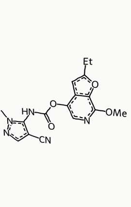 CCc1cc2c(OC(=O)Nc3c(C#N)cnn3C)cnc(OC)c2o1